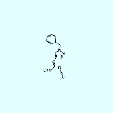 [N-]=[N+]=N/C(C=O)=C\c1cnn(Cc2ccccc2)c1